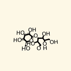 O=CC(O)C(O[C@@H]1O[C@H](CO)[C@@H](O)[C@H](O)[C@H]1O)C(O)C(O)CO